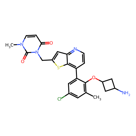 Cc1cc(Cl)cc(-c2ccnc3cc(Cn4c(=O)ccn(C)c4=O)sc23)c1OC1CC(N)C1